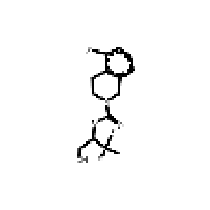 O=C(OC(CO)C(F)(F)F)N1CCc2c(Br)cccc2C1